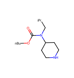 CCCCOC(=O)N(CC(C)C)C1CCNCC1